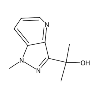 Cn1nc(C(C)(C)O)c2ncccc21